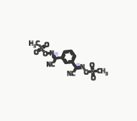 CS(=O)(=O)O/N=C(\C#N)c1cccc(/C(C#N)=N/OS(C)(=O)=O)c1